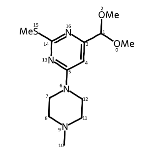 COC(OC)c1cc(N2CCN(C)CC2)nc(SC)n1